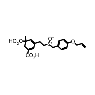 C=CCOc1ccc(C[S+]([O-])CCC2=CC(C)(C(=O)O)CC(C(=O)O)=C2)cc1